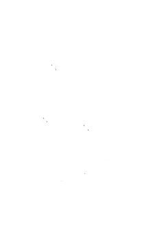 FC(F)(F)c1nc(-c2ccccn2)no1